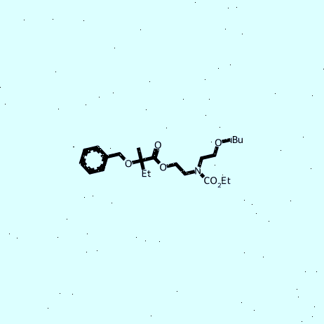 CCOC(=O)N(CCOC(=O)C(C)(CC)OCc1ccccc1)CCOC(C)CC